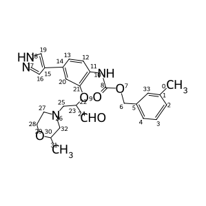 Cc1cccc(COC(=O)Nc2ccc(-c3cn[nH]c3)cc2OC(C=O)CN2CCOC(C)C2)c1